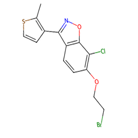 Cc1sccc1-c1noc2c(Cl)c(OCCBr)ccc12